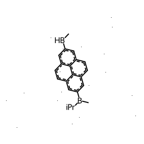 CBc1cc2ccc3cc(B(C)C(C)C)cc4ccc(c1)c2c34